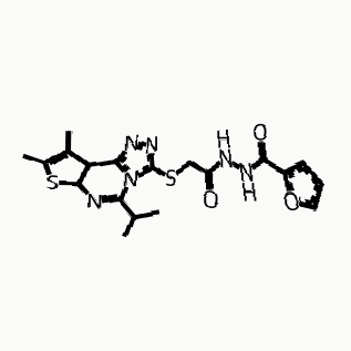 CC1=C(C)C2c3nnc(SCC(=O)NNC(=O)c4ccco4)n3C(C(C)C)=NC2S1